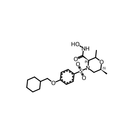 CC1O[C@@H](C)CN(S(=O)(=O)c2ccc(OCC3CCCCC3)cc2)[C@H]1C(=O)NO